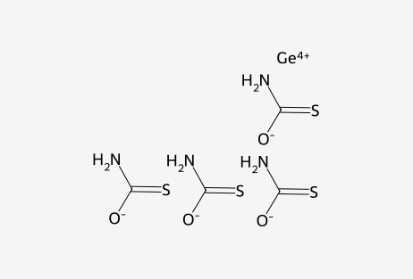 NC([O-])=S.NC([O-])=S.NC([O-])=S.NC([O-])=S.[Ge+4]